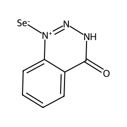 O=c1[nH]n[n+]([Se-])c2ccccc12